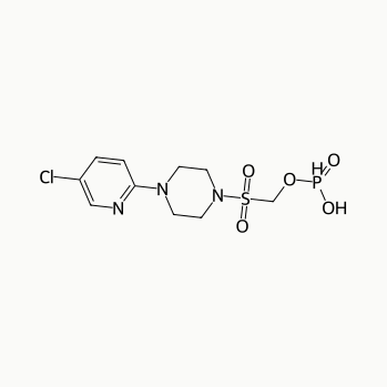 O=[PH](O)OCS(=O)(=O)N1CCN(c2ccc(Cl)cn2)CC1